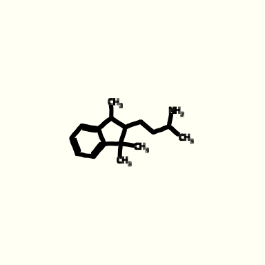 CC(N)CCC1C(C)c2ccccc2C1(C)C